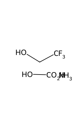 N.O=C(O)O.OCC(F)(F)F